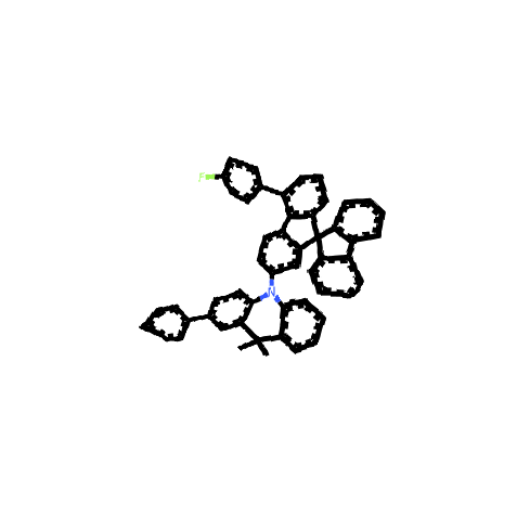 CC1(C)c2ccccc2N(c2ccc3c(c2)C2(c4ccccc4-c4ccccc42)c2cccc(-c4ccc(F)cc4)c2-3)c2ccc(-c3ccccc3)cc21